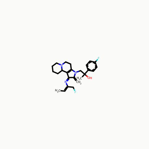 C=C1/C(=N\C(=C/C)CF)C2=C(CCN3CCCCC23)N1CC(C)(O)c1ccc(F)cc1